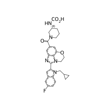 O=C(O)N[C@@H]1CCCN(C(=O)c2cc3c4c(c2)nc(-c2cc5cc(F)ccc5n2CC2CC2)n4CCO3)C1